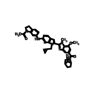 COc1cc(C(=O)N2CC3CCC2C3N)cc2nc(-c3cc4ccc(Nc5ccc6c(c5)N(C(C)=O)CC6)nc4n3CC3CC3)n(C)c12